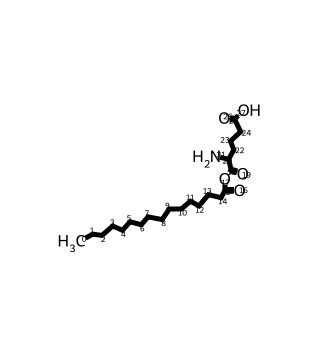 CCCCCCCCCCCCCCCC(=O)OC(=O)C(N)CCCC(=O)O